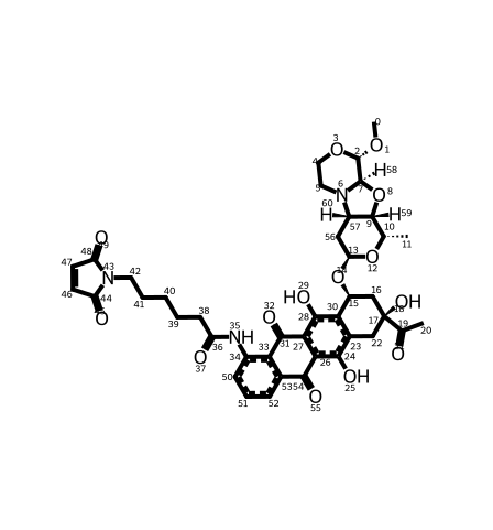 CO[C@H]1OCCN2[C@@H]1O[C@@H]1[C@H](C)O[C@@H](O[C@H]3C[C@](O)(C(C)=O)Cc4c(O)c5c(c(O)c43)C(=O)c3c(NC(=O)CCCCCN4C(=O)C=CC4=O)cccc3C5=O)C[C@@H]12